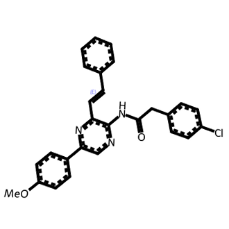 COc1ccc(-c2cnc(NC(=O)Cc3ccc(Cl)cc3)c(/C=C/c3ccccc3)n2)cc1